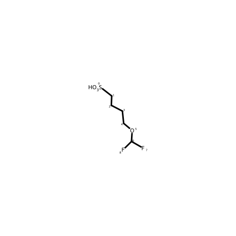 O=S(=O)(O)CCCCOC(F)F